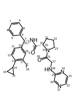 O=C(N[C@@H](c1ccccc1)c1ccc(C2CC2)c(F)c1)[C@@H]1CCCN1C(=O)CNc1cnccn1